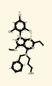 CCc1nc(N(CCCO)Cc2ccccc2)c2c(SC)nn(-c3c(Cl)cc(Cl)cc3Cl)c2n1